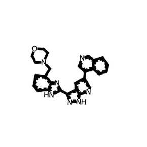 c1ccc2c(-c3cnc4[nH]nc(-c5nc6c(CN7CCOCC7)cccc6[nH]5)c4c3)cncc2c1